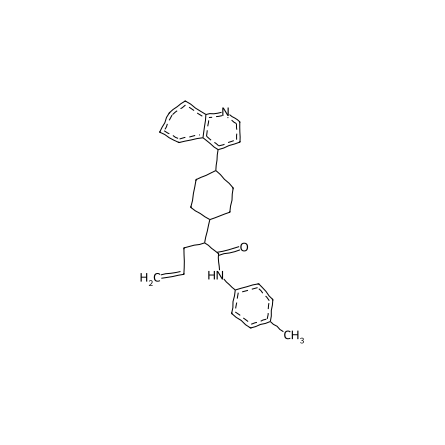 C=CCC(C(=O)Nc1ccc(C)cc1)C1CCC(c2ccnc3ccccc23)CC1